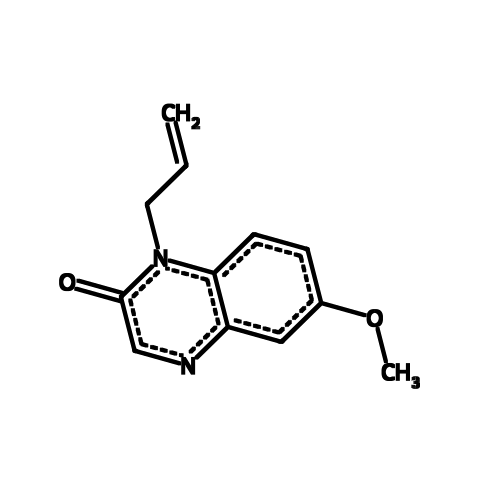 C=CCn1c(=O)cnc2cc(OC)ccc21